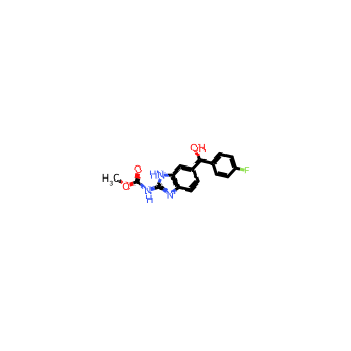 COC(=O)Nc1nc2ccc(C(O)c3ccc(F)cc3)cc2[nH]1